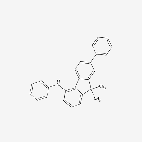 CC1(C)c2cc(-c3ccccc3)ccc2-c2c(Nc3ccccc3)cccc21